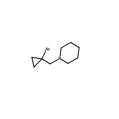 CC(=O)C1(CN2CCCCC2)CC1